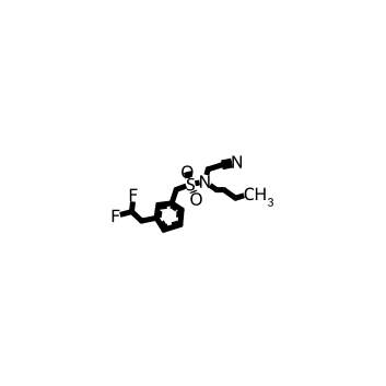 CCCCN(CC#N)S(=O)(=O)Cc1cccc(CC(F)F)c1